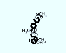 C[C@@H](c1ccc(-c2ccc(S(C)(=O)=O)nc2)cc1)N1CCC(CC(C)(C)O)(c2ccccc2)OC1=O